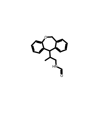 CC(CNC=O)C1c2ccccc2COc2ccccc21